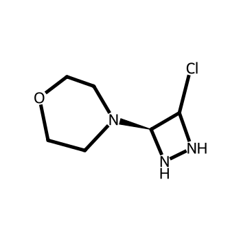 ClC1NN[C@H]1N1CCOCC1